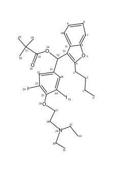 CCCCc1oc2ccccc2c1C(OC(=O)C(C)(C)C)c1cc(I)c(OCCN(CC)CC)c(I)c1